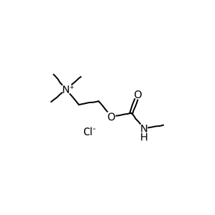 CNC(=O)OCC[N+](C)(C)C.[Cl-]